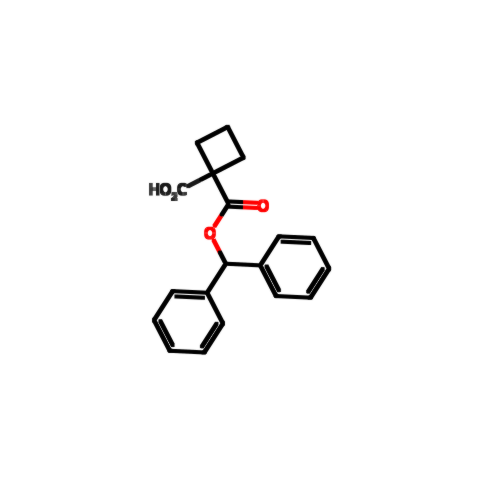 O=C(O)C1(C(=O)OC(c2ccccc2)c2ccccc2)CCC1